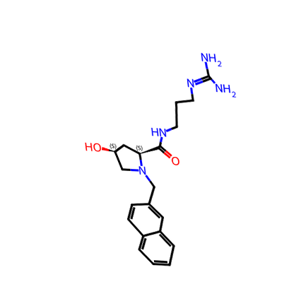 NC(N)=NCCCNC(=O)[C@@H]1C[C@H](O)CN1Cc1ccc2ccccc2c1